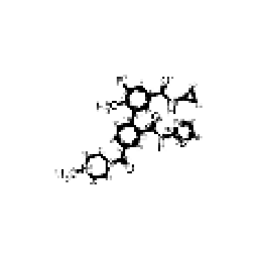 Cc1c(F)cc(C(=O)NC2CC2)cc1-c1ccc(C(=O)N2CCN(C)CC2)cc1C(=O)Nc1nccs1